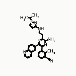 Cc1c(C#N)cccc1-c1nc(N)c(CCNc2ccn(C(C)C)n2)nc1-c1ccc2ncccc2c1